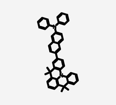 CC1(C)c2ccccc2N2c3ccc(-c4ccc5cc(N(c6ccccc6)c6ccccc6)ccc5c4)cc3C(C)(C)c3cccc1c32